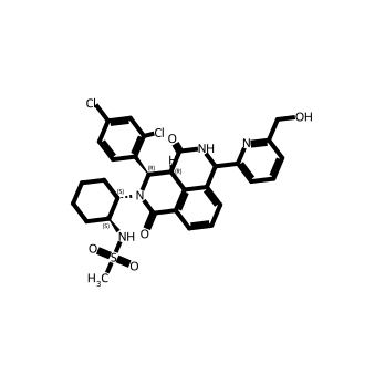 CS(=O)(=O)N[C@H]1CCCC[C@@H]1N1C(=O)c2cccc3c2[C@@H](C(=O)NC3c2cccc(CO)n2)[C@@H]1c1ccc(Cl)cc1Cl